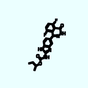 CCC(C)OC(=O)Nc1nc2cc(-c3n[nH]c(=O)c4c(F)ccc(F)c34)ccc2[nH]1